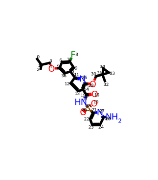 CC(C)COc1cc(F)cc(-c2ccc(C(=O)NS(=O)(=O)c3cccc(N)n3)c(OCC3(C)CC3)n2)c1